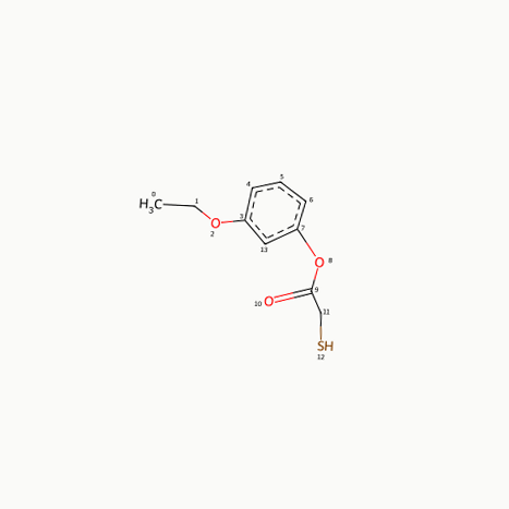 CCOc1cccc(OC(=O)CS)c1